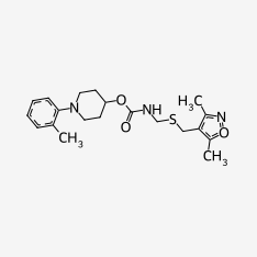 Cc1ccccc1N1CCC(OC(=O)NCSCc2c(C)noc2C)CC1